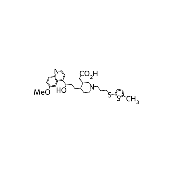 COc1ccc2nccc(C(O)CC[C@@H]3CCN(CCCSc4ccc(C)s4)C[C@@H]3CC(=O)O)c2c1